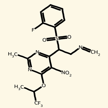 C=NCC(c1nc(C)nc(OC(C)C(F)(F)F)c1[N+](=O)[O-])S(=O)(=O)c1ccccc1F